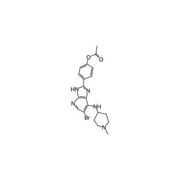 CC(=O)Oc1ccc(-c2nc3c(NC4CCN(C)CC4)c(Br)cnc3[nH]2)cc1